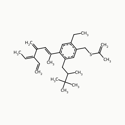 C=C/C(=C/C)C(=C)/C=C(\C)c1cc(CC)c(CSC(=C)C)cc1CC(C)C(C)(C)C